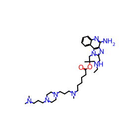 CCNCc1nc2c(N)nc3ccccc3c2n1CC(C)(C)OC(=O)CCCCCN(C)CCCN1CCN(CCCN(C)C)CC1